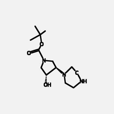 CC(C)(C)OC(=O)N1C[C@@H](O)[C@H](N2CCNCC2)C1